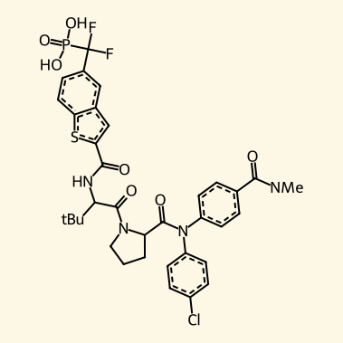 CNC(=O)c1ccc(N(C(=O)C2CCCN2C(=O)C(NC(=O)c2cc3cc(C(F)(F)P(=O)(O)O)ccc3s2)C(C)(C)C)c2ccc(Cl)cc2)cc1